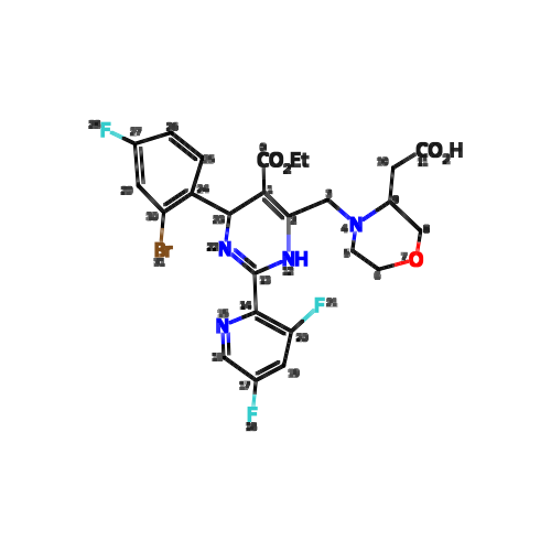 CCOC(=O)C1=C(CN2CCOCC2CC(=O)O)NC(c2ncc(F)cc2F)=NC1c1ccc(F)cc1Br